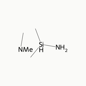 CNC.C[SiH](C)N